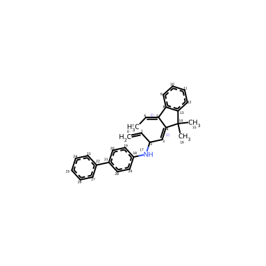 C=CC(/C=C1\C(=C/C)c2ccccc2C1(C)C)Nc1ccc(-c2ccccc2)cc1